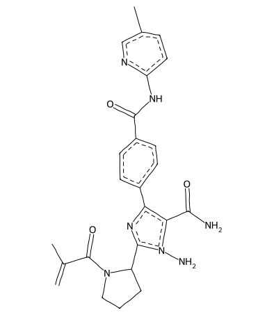 C=C(C)C(=O)N1CCCC1c1nc(-c2ccc(C(=O)Nc3ccc(C)cn3)cc2)c(C(N)=O)n1N